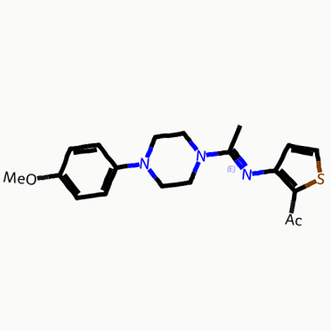 COc1ccc(N2CCN(/C(C)=N/c3ccsc3C(C)=O)CC2)cc1